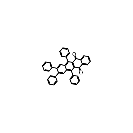 O=C1c2ccccc2C(=O)c2c1c(-c1ccccc1)c1cc(-c3ccccc3)c(-c3ccccc3)cc1c2-c1ccccc1